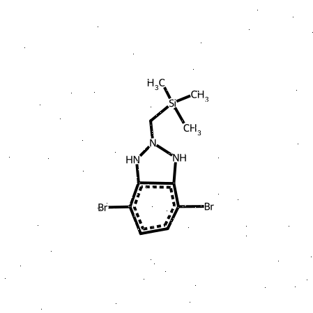 C[Si](C)(C)CN1Nc2c(Br)ccc(Br)c2N1